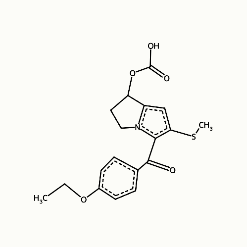 CCOc1ccc(C(=O)c2c(SC)cc3n2CCC3OC(=O)O)cc1